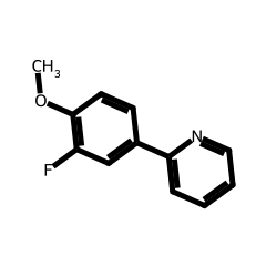 COc1ccc(-c2ccccn2)cc1F